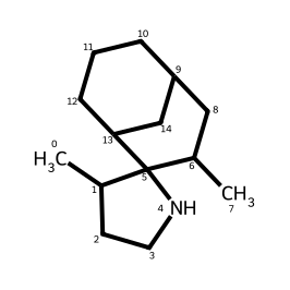 CC1CCNC12C(C)CC1CCCC2C1